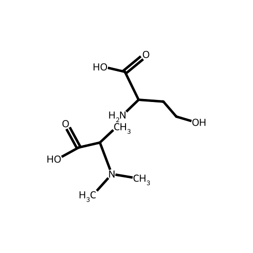 CC(C(=O)O)N(C)C.NC(CCO)C(=O)O